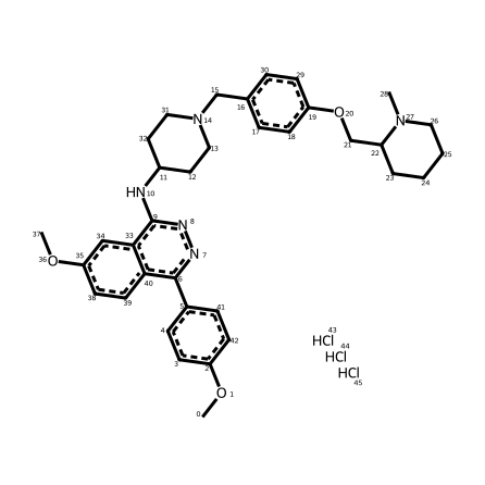 COc1ccc(-c2nnc(NC3CCN(Cc4ccc(OCC5CCCCN5C)cc4)CC3)c3cc(OC)ccc23)cc1.Cl.Cl.Cl